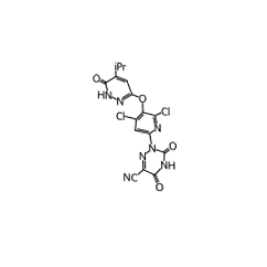 CC(C)c1cc(Oc2c(Cl)cc(-n3nc(C#N)c(=O)[nH]c3=O)nc2Cl)n[nH]c1=O